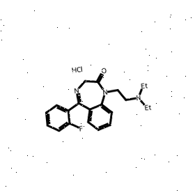 CCN(CC)CCN1C(=O)CN=C(c2ccccc2F)c2ccccc21.Cl